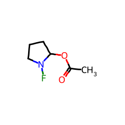 CC(=O)OC1CCCN1F